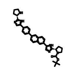 CC(C)(C)OC(=O)N1CCC[C@H]1c1ncc(-c2ccc3cc(-c4ccc(-c5cnc([C@@H]6CCCN6)[nH]5)cc4)ccc3c2)[nH]1